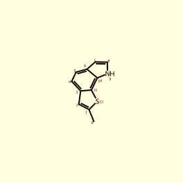 Cc1cc2ccc3cc[nH]c3c2s1